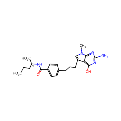 Cn1cc(CCCc2ccc(C(=O)N[C@@H](CCC(=O)O)C(=O)O)cc2)c2c(O)nc(N)nc21